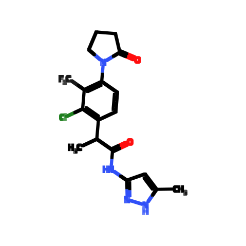 Cc1cc(NC(=O)C(C)c2ccc(N3CCCC3=O)c(C(F)(F)F)c2Cl)n[nH]1